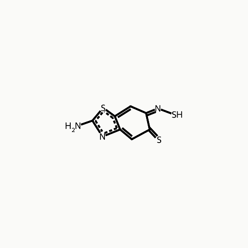 Nc1nc2c(s1)=C/C(=N/S)C(=S)C=2